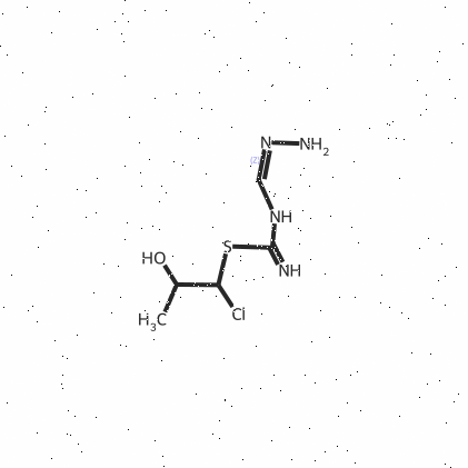 CC(O)C(Cl)SC(=N)N/C=N\N